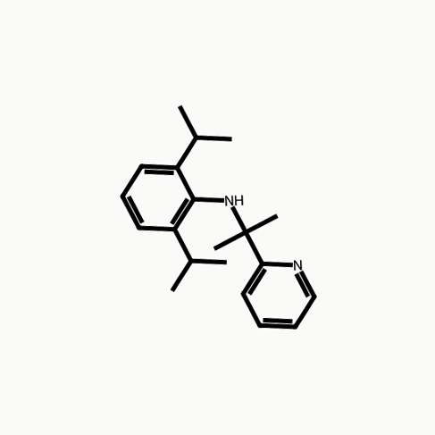 CC(C)c1cccc(C(C)C)c1NC(C)(C)c1ccccn1